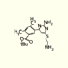 Cc1cc(C)c(-c2cc(SCCN)nc(N)n2)cc1C(=O)OC(C)(C)C